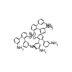 Nc1cccc(-c2cccc(OP(=O)(Oc3cccc(-c4cccc(N)c4)c3-c3cccc(N)c3)Oc3cccc(-c4cccc(N)c4)c3-c3cccc(N)c3)c2-c2cccc(N)c2)c1